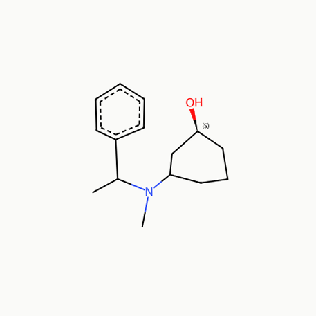 CC(c1ccccc1)N(C)C1CCC[C@H](O)C1